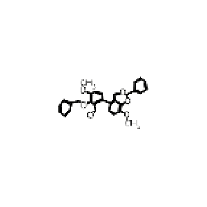 COc1ccc(-c2ccc(OC)c(OCc3ccccc3)c2C=O)c(C=O)c1OCc1ccccc1